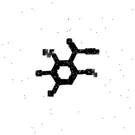 COC(=O)c1c(C)cc(Br)c(Cl)c1C